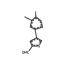 Cc1ccc(-c2csc(C=O)c2)cc1C